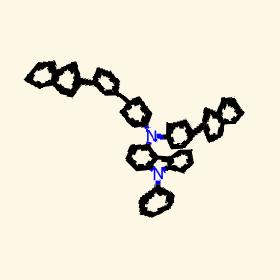 c1ccc(-n2c3ccccc3c3c(N(c4ccc(-c5cccc(-c6ccc7ccccc7c6)c5)cc4)c4ccc(-c5ccc6ccccc6c5)cc4)cccc32)cc1